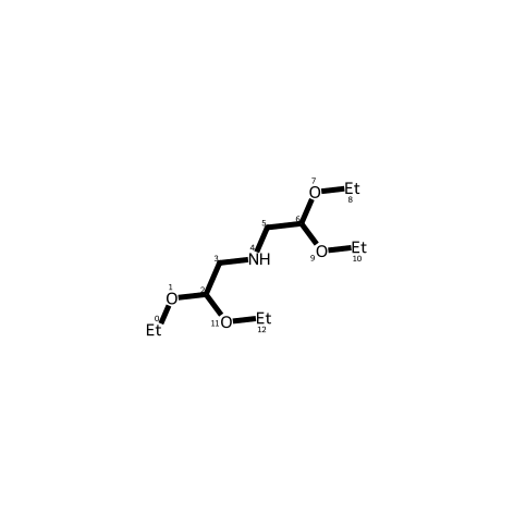 CCOC(CNCC(OCC)OCC)OCC